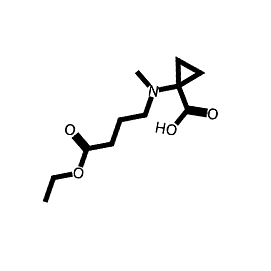 CCOC(=O)CCCN(C)C1(C(=O)O)CC1